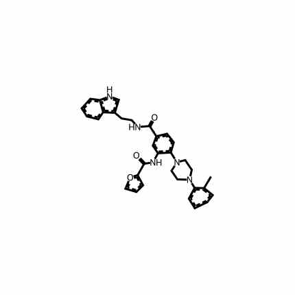 Cc1ccccc1N1CCN(c2ccc(C(=O)NCCc3c[nH]c4ccccc34)cc2NC(=O)c2ccco2)CC1